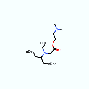 CCCCCCCCCCCC(CCCCCCCCCCC)N(CC=O)CC(=O)OCCN(C)C